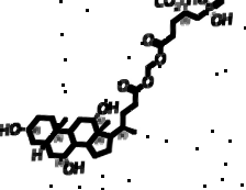 C=P(O)(O)C[C@H](CCC(=O)OCOC(=O)CC[C@@H](C)C1CCC2C3C(C[C@H](O)[C@@]21C)[C@@]1(C)CC[C@@H](O)C[C@H]1C[C@H]3O)C(=O)O